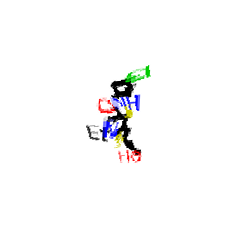 CCn1cc(C(=O)NCc2ccc(Cl)cc2)c(=S)c2cc(C#CCO)sc21